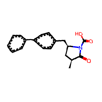 C[C@H]1C[C@@H](Cc2ccc(-c3ccccc3)cc2)N(C(=O)O)C1=O